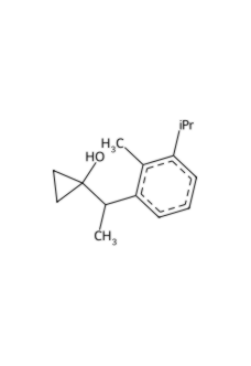 Cc1c(C(C)C)cccc1C(C)C1(O)CC1